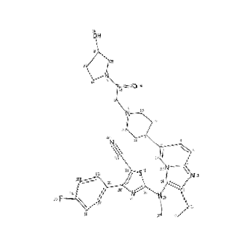 CCc1nc2ccc(C3CCN(CC(=O)N4CCC(O)C4)CC3)cn2c1N(C)c1nc(-c2ccc(F)cc2)c(C#N)s1